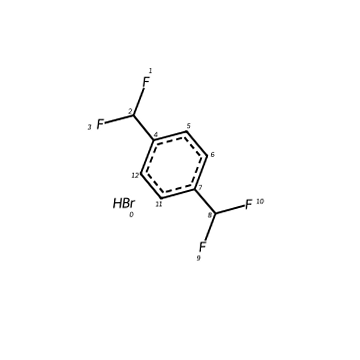 Br.FC(F)c1ccc(C(F)F)cc1